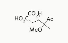 COC(C)(C(C)=O)C(CC(=O)O)C(=O)O